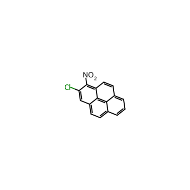 O=[N+]([O-])c1c(Cl)cc2ccc3cccc4ccc1c2c34